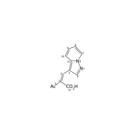 CC(=O)C(=Cc1cnn2ccccc12)C(=O)O